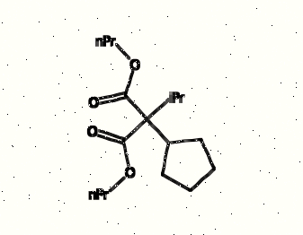 CCCOC(=O)C(C(=O)OCCC)(C(C)C)C1CCCC1